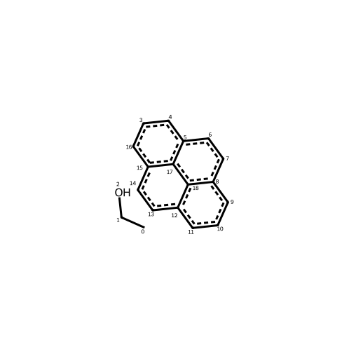 CCO.c1cc2ccc3cccc4ccc(c1)c2c34